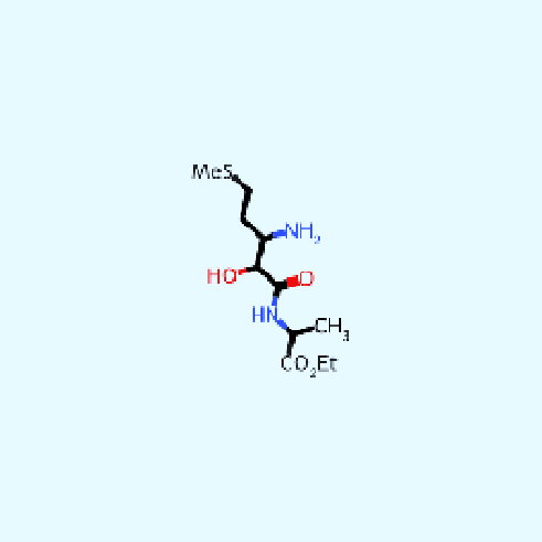 CCOC(=O)C(C)NC(=O)C(O)C(N)CCSC